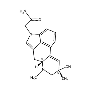 CN1C[C@@](C)(O)C=C2c3cccc4c3c(cn4CC(N)=O)C[C@H]21